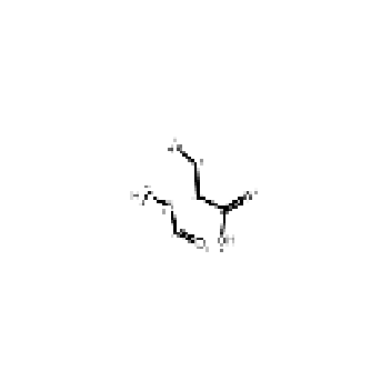 CNC=O.O=C(O)CCS